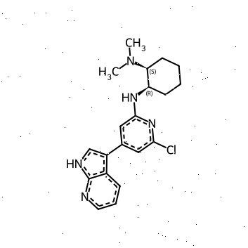 CN(C)[C@H]1CCCC[C@H]1Nc1cc(-c2c[nH]c3ncccc23)cc(Cl)n1